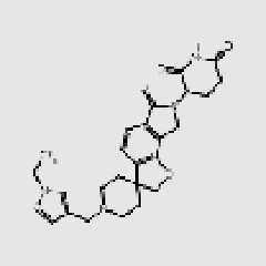 O=C1CCC(N2Cc3c(ccc4c3OCC43CCN(Cc4cnn(CC(F)(F)F)c4)CC3)C2=O)C(=O)N1